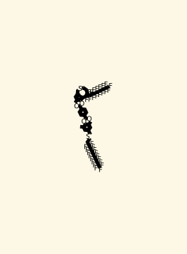 Cc1cc(CSCCC(F)(F)C(F)(F)C(F)(F)C(F)(F)C(F)(F)C(F)(F)C(F)(F)C(F)(F)F)cc(C)c1OC(=O)c1ccc(C(=O)Oc2c(C)cc3cc2[C@@]2(F)C(F)(CCSC3)C2(F)C(F)(F)C(F)(F)C(F)(F)C(F)(F)C(F)(F)C(F)(F)F)cc1